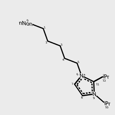 CCCCCCCCCCCCCC[n+]1ccn(C(C)C)c1C(C)C